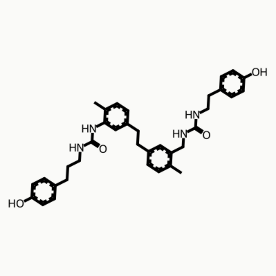 Cc1ccc(CCc2ccc(C)c(NC(=O)NCCCc3ccc(O)cc3)c2)cc1CNC(=O)NCCc1ccc(O)cc1